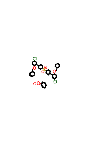 O=S(=O)(c1ccc(-c2cc(Cl)ccc2OCc2ccccc2)cc1)c1ccc(-c2cc(Cl)ccc2OCc2ccccc2)cc1.Oc1ccccc1